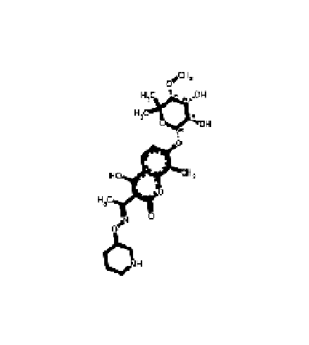 CO[C@@H]1[C@H](O)[C@@H](O)[C@H](Oc2ccc3c(O)c(C(C)=NOC4CCCNC4)c(=O)oc3c2C)OC1(C)C